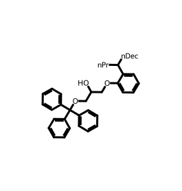 CCCCCCCCCCC(CCC)c1ccccc1OCC(O)COC(c1ccccc1)(c1ccccc1)c1ccccc1